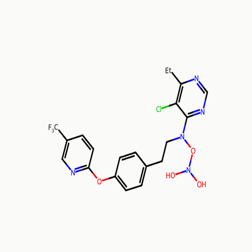 CCc1ncnc(N(CCc2ccc(Oc3ccc(C(F)(F)F)cn3)cc2)ON(O)O)c1Cl